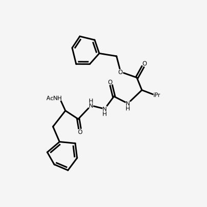 CC(=O)NC(Cc1ccccc1)C(=O)NNC(=O)NC(C(=O)OCc1ccccc1)C(C)C